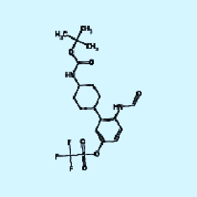 CC(C)(C)OC(=O)NC1CCC(c2cc(OS(=O)(=O)C(F)(F)F)ccc2NC=O)CC1